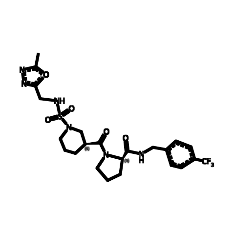 Cc1nnc(CNS(=O)(=O)N2CCC[C@H](C(=O)N3CCC[C@@H]3C(=O)NCc3ccc(C(F)(F)F)cc3)C2)o1